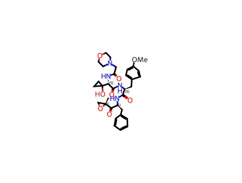 COc1ccc(C[C@H](NC(=O)[C@@H](NC(=O)CN2CCOCC2)C2(O)CC2)C(=O)N[C@@H](Cc2ccccc2)C(=O)[C@@]2(C)CO2)cc1